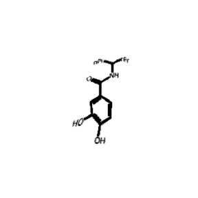 CCCC(CCC)NC(=O)c1ccc(O)c(O)c1